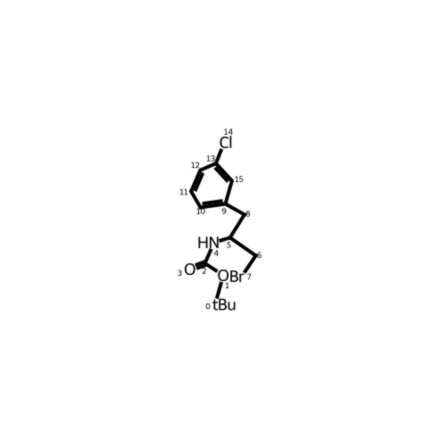 CC(C)(C)OC(=O)NC(CBr)Cc1cccc(Cl)c1